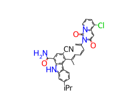 C=C(/C=C\C=C(/C)c1c(C#N)cc(C(N)=O)c2[nH]c3cc(C(C)C)ccc3c12)n1c(=O)cc2c(Cl)cccn2c1=O